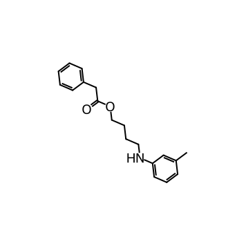 Cc1cccc(NCCCCOC(=O)Cc2ccccc2)c1